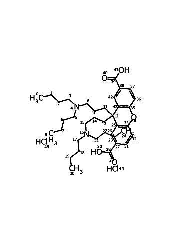 CCCCN(CCCC)CCCC1(CCCN(CCCC)CCCC)c2cc(C(=O)O)ccc2Oc2ccc(C(=O)O)cc21.Cl.Cl